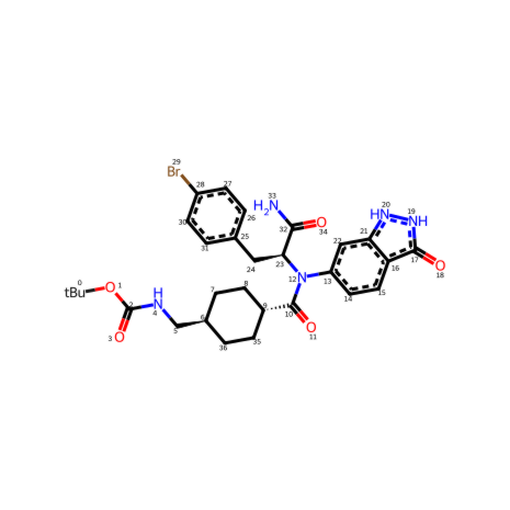 CC(C)(C)OC(=O)NC[C@H]1CC[C@H](C(=O)N(c2ccc3c(=O)[nH][nH]c3c2)[C@@H](Cc2ccc(Br)cc2)C(N)=O)CC1